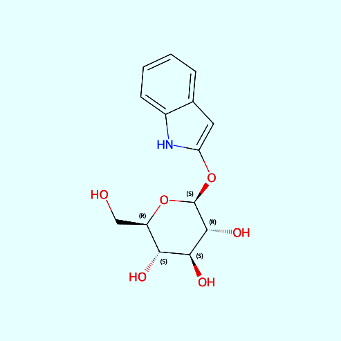 OC[C@H]1O[C@@H](Oc2cc3ccccc3[nH]2)[C@H](O)[C@@H](O)[C@@H]1O